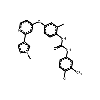 Cn1cc(-c2cc(Oc3ccc(NC(=O)Nc4ccc(Cl)c(C(F)(F)F)c4)c(I)c3)ccn2)cn1